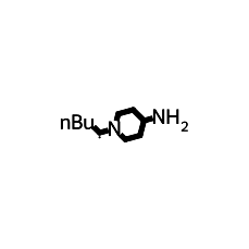 CCCC[CH]N1CCC(N)CC1